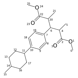 COC(=O)C(C)C(c1ccc(C2CCC(C)CC2)cc1)C(C)C(=O)OC